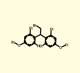 CCOc1cc(CC)c(C(CBr)c2c(CC)cc(OCC)cc2CC)c(CC)c1